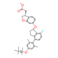 COC(=O)C[C@@H]1COc2cc(O[C@@H]3CCc4c(-c5c(C)cc(O[Si](C)(C)C(C)(C)C)cc5C)ccc(F)c43)ccc21